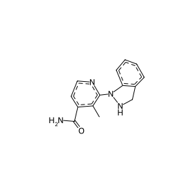 Cc1c(C(N)=O)ccnc1N1NCc2ccccc21